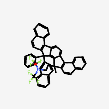 CC1(CCN(C(F)(F)F)C(F)(F)F)c2ccc3ccccc3c2-c2ccc3c(c21)C(c1ccccc1)(c1ccc2ccccc2c1)c1ccc2ccccc2c1-3